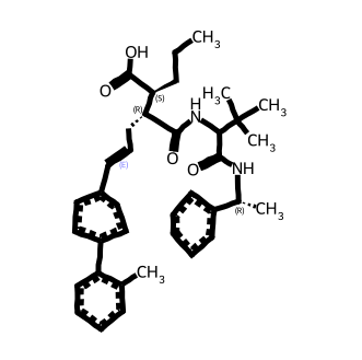 CCC[C@H](C(=O)O)[C@@H](C/C=C/c1ccc(-c2ccccc2C)cc1)C(=O)NC(C(=O)N[C@H](C)c1ccccc1)C(C)(C)C